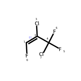 F/C=C(/Cl)C(F)(F)Cl